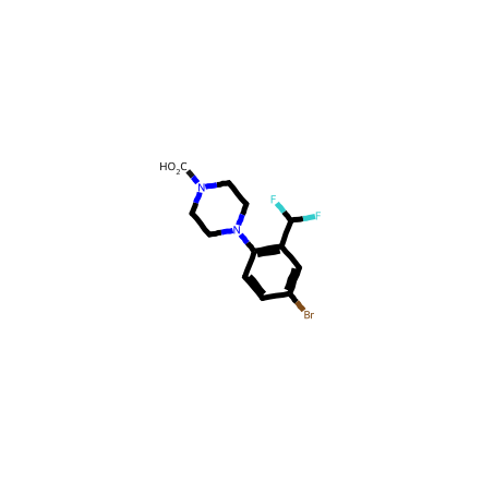 O=C(O)N1CCN(c2ccc(Br)cc2C(F)F)CC1